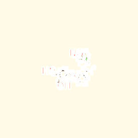 CCC(CCC(F)(F)C(O)(CC)CC)c1cccc(OCc2ccc(CO)c(CO)c2)c1